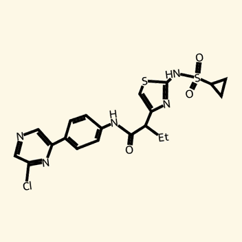 CCC(C(=O)Nc1ccc(-c2cncc(Cl)n2)cc1)c1csc(NS(=O)(=O)C2CC2)n1